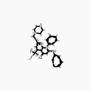 O=c1cc(Nc2ccccc2)n(-c2ccccc2)c2nc(CN3CCOCC3)cc(C(F)(F)F)c12